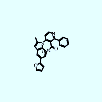 Cc1cc2cc(-c3ccco3)ccc2n1-c1ccnc(-c2ccccc2)c1C(N)=O